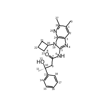 Cc1cc2nc(NC(=O)C[C@](C)(O)c3ccccc3)n(C3CCC3)c2nc1C